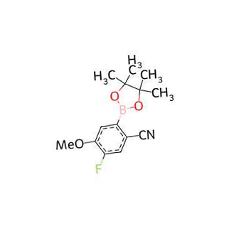 COc1cc(B2OC(C)(C)C(C)(C)O2)c(C#N)cc1F